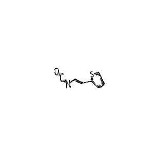 O=C=NC=Cc1cccs1